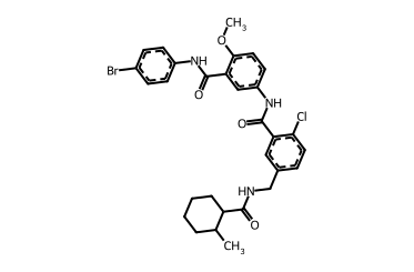 COc1ccc(NC(=O)c2cc(CNC(=O)C3CCCCC3C)ccc2Cl)cc1C(=O)Nc1ccc(Br)cc1